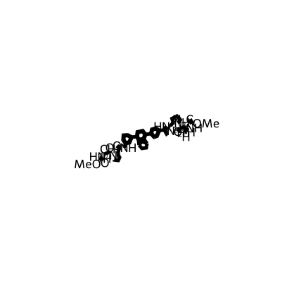 [2H]C([2H])([2H])[C@]([2H])(NC(=C)OC)C(=O)N1CCCC1c1ncc(-c2ccc(-c3ccc(-c4cccc(NC(=O)C5CCCN5C(=O)[C@]([2H])(C)NC(=O)OC)c4)c4c3C3CCC4C3)cc2)[nH]1